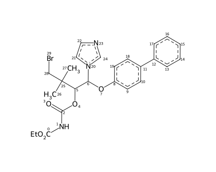 CCOC(=O)NC(=O)OC(C(Oc1ccc(-c2ccccc2)cc1)n1ccnc1)C(C)(C)CBr